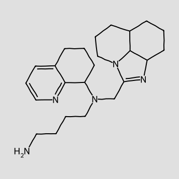 NCCCCN(CC1=NC2CCCC3CCCN1C32)C1CCCc2cccnc21